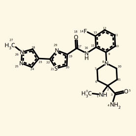 CNC1(C(N)=O)CCN(c2cccc(F)c2NC(=O)c2csc(-c3cnn(C)c3)n2)CC1